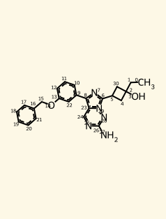 CCC1(O)CC(c2nc(-c3cccc(OCc4ccccc4)c3)c3cnc(N)nn23)C1